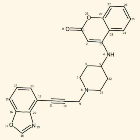 O=c1cc(NC2CCN(CC#Cc3cccc4ocnc34)CC2)c2ccccc2o1